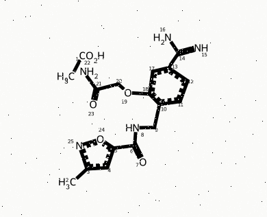 CC(=O)O.Cc1cc(C(=O)NCc2ccc(C(=N)N)cc2OCC(N)=O)on1